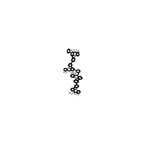 CC1(C)c2ccccc2-n2c3ccc(-c4ccc5c(c4)c4cccc6c4n5-c4ccccc4[C@]6(C)Cc4cccc(-c5cc6c7c(c5)c5cc(-c8ccc9c(c8)c8cc(-c%10ccccc%10)cc%10c8n9-c8ccccc8C%10(C)C)ccc5n7-c5ccccc5C6(C)C)c4)cc3c3cccc1c32